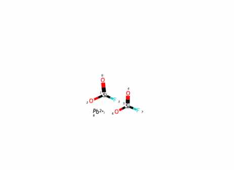 O=[Si]([O-])F.O=[Si]([O-])F.[Pb+2]